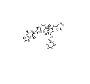 CC(C)CN(CC(O)[CH]Cc1ccccc1)S(=O)(=O)c1ccc2nc(N(C)C(=O)c3ccoc3)oc2c1